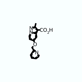 Cc1nn2ccc(OCc3ccccn3)cc2c1C(=O)O